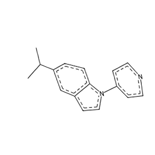 CC(C)c1ccc2c(ccn2-c2ccncc2)c1